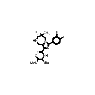 CNC(=O)C(NC(=O)c1nc(-c2ccc(F)c(F)c2)n2c1CNCC(C)(C)C2)C(C)(C)C